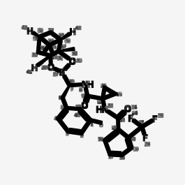 Cc1cccc(C[C@H](NC(=O)C2(NC(=O)c3ccccc3C(F)(F)F)CC2)B2O[C@@H]3C[C@@H]4C[C@@H](C4(C)C)[C@]3(C)O2)c1